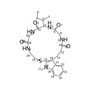 CCC(C)C1NC(=O)CNC(=O)CCc2c(n(C)c3ccccc23)SCCNC(=O)CNC1=O